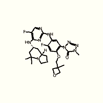 Cn1nnn(-c2cc(Nc3ncc(F)c(N[C@@H]4C[C@@H]5CCCN5C(C)(C)C4)n3)c(F)cc2OCC2(C)COC2)c1=O